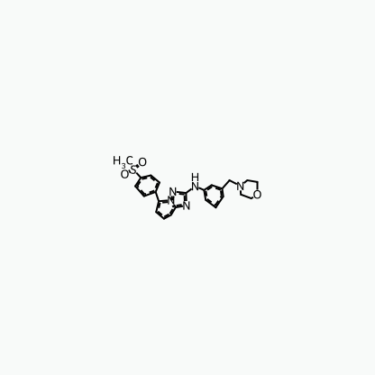 CS(=O)(=O)c1ccc(-c2cccc3nc(Nc4cccc(CN5CCOCC5)c4)nn23)cc1